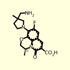 C[C@H]1COc2c(N3CCC(C)(CN)C3)c(F)cc3cc(C(=O)O)c(=O)n1c23